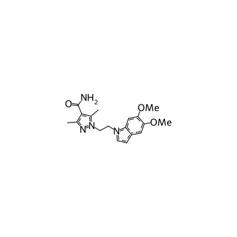 COc1cc2ccn(CCn3nc(C)c(C(N)=O)c3C)c2cc1OC